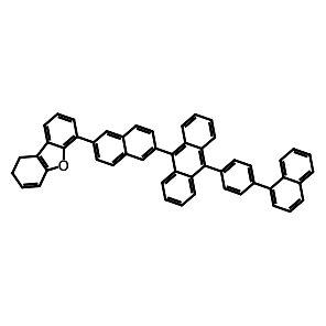 C1=Cc2oc3c(-c4ccc5cc(-c6c7ccccc7c(-c7ccc(-c8cccc9ccccc89)cc7)c7ccccc67)ccc5c4)cccc3c2CC1